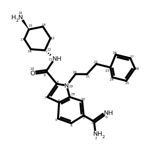 N=C(N)c1ccc2cc(C(=O)N[C@H]3CC[C@H](N)CC3)n(CCCc3ccccc3)c2c1